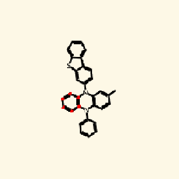 Cc1ccc(N(c2ccccc2)c2ccccc2)c(N(c2ccccc2)c2ccc3c(c2)sc2ccccc23)c1